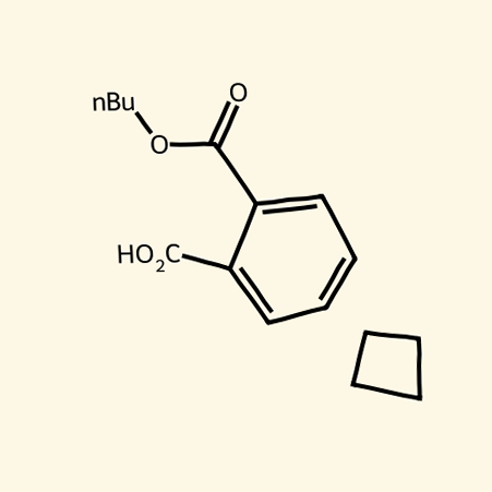 C1CCC1.CCCCOC(=O)c1ccccc1C(=O)O